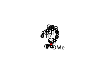 COc1ccc([C@]2(CCN(Cc3ccc(C4=CC[C@H](CN5CCN(C(=O)c6ccc7c8c6CCCn8c(=O)n7C6CCC(=O)NC6=O)CC5)CC4)cc3)CC(C)(C)C(F)(F)F)CCOC(C)(C)C2)cc1.O=S(=O)(O)c1ccccc1